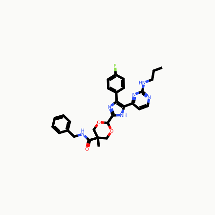 CCCNc1nccc(-c2[nH]c(C3OCC(C)(C(=O)NCc4ccccc4)CO3)nc2-c2ccc(F)cc2)n1